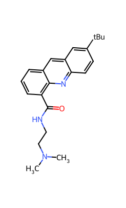 CN(C)CCNC(=O)c1cccc2cc3cc(C(C)(C)C)ccc3nc12